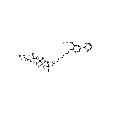 CCCCCCc1cc(-c2ncccn2)ccc1CCCCCCOCC(F)(F)OC(F)(F)C(F)(F)OC(F)(F)C(F)(F)OC(F)(F)F